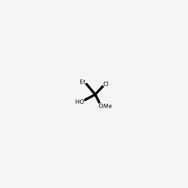 CCC(O)(Cl)OC